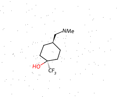 CNC[C@H]1CC[C@](O)(C(F)(F)F)CC1